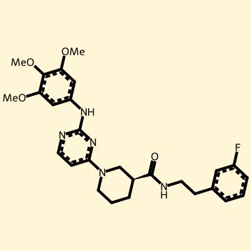 COc1cc(Nc2nccc(N3CCC[C@H](C(=O)NCCc4cccc(F)c4)C3)n2)cc(OC)c1OC